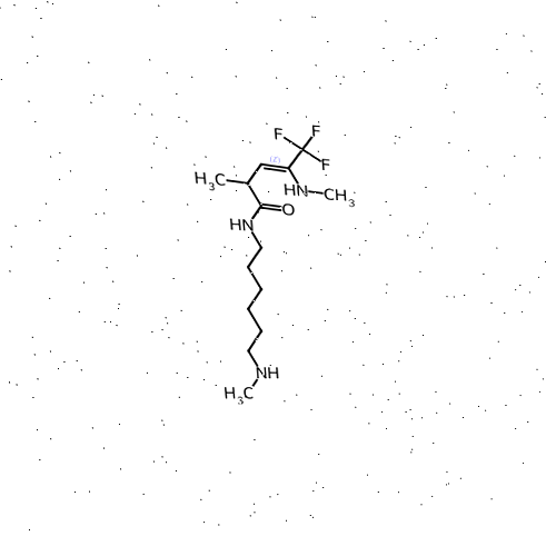 CNCCCCCCNC(=O)C(C)/C=C(\NC)C(F)(F)F